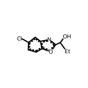 CCC(O)c1nc2cc(Cl)ccc2o1